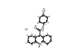 C[n+]1c2ccccc2c(C(=O)Oc2ccc(Cl)cc2)c2ccccc21.[I-]